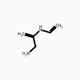 C=CNC(=C)CN